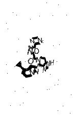 O=C(c1nnc(-c2cnccn2)o1)N1CCc2[nH]cnc2[C@@H]1c1cc2c(C3CC3)cccn2n1